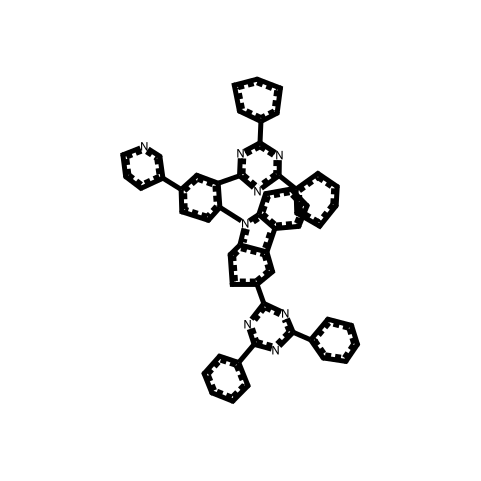 c1ccc(-c2nc(-c3ccccc3)nc(-c3ccc4c(c3)c3ccccc3n4-c3ccc(-c4cccnc4)cc3-c3nc(-c4ccccc4)nc(-c4ccccc4)n3)n2)cc1